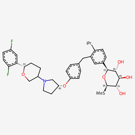 CS[C@H]1O[C@@H](c2ccc(C(C)C)c(Cc3ccc(O[C@@H]4CCN(C5CC[C@@H](c6cc(F)ccc6F)OC5)C4)cc3)c2)[C@H](O)[C@@H](O)[C@@H]1O